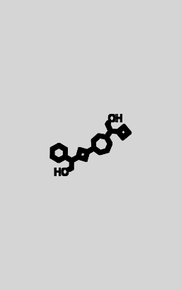 OCC(C1CCC1)C1CCCC(C2CC(C(CO)C3CCCCC3)C2)CC1